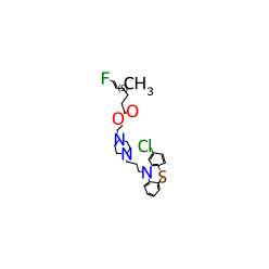 C[C@H](C=CF)CCC(=O)OCCN1CCN(CCCN2c3ccccc3Sc3ccc(Cl)cc32)CC1